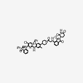 Cc1cc(Nc2ncc(Cl)c(Nc3ccccc3S(=O)(=O)C(C)C)n2)c(OC(C)C)cc1C1CCN(C(=O)CNc2cccc3c2C(=O)N(C2CCC(=O)NC2=O)C3=O)CC1